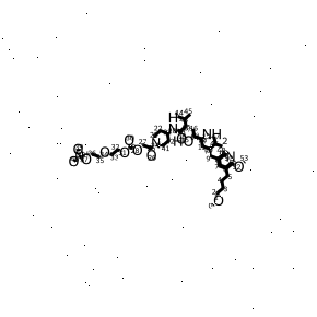 COCCCCc1cc(C[C@@H](C[C@H](N)[C@@H](O)C[C@H](C(=O)NC2CCN(C(=O)COC(=O)OCCOCCO[N+](=O)[O-])CC2)C(C)C)C(C)C)cnc1OC